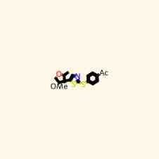 COC1(c2cnc(Sc3ccc(C(C)=O)cc3)s2)CCOC1C